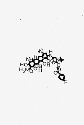 CN(C)c1cc(NC(=O)CN(C(=O)OCOC(=O)c2ccc(F)cc2)C(C)(C)C)c(O)c2c1C[C@H]1C[C@H]3[C@H](N(C)C)C(O)=C(C(N)=O)C(=O)[C@@]3(O)C(O)=C1C2=O